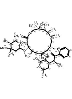 CC[C@H]1OC(=O)[C@H](C)[C@@H](OC2C[C@@](C)(OC)[C@@H](O)[C@H](C)O2)[C@H](C)[C@@H](O[C@@H]2O[C@H](C)C[C@H](N(C)C(=O)c3ccccc3)[C@H]2O)[C@@](C)(O)C[C@@H](C)CN(C)[C@H](C)[C@@H](O)[C@]1(C)O